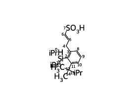 CC(C)[SiH](c1c(CC=CS(=O)(=O)O)cccc1C(C)(C)C(C)C)C(C)C